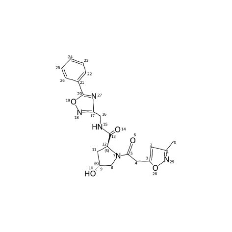 Cc1cc(CC(=O)N2C[C@H](O)C[C@H]2C(=O)NCc2noc(-c3ccccc3)n2)on1